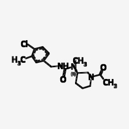 CC(=O)N1CCC[C@@H](N(C)C(=O)NCc2ccc(Cl)c(C)c2)C1